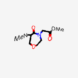 CNC1COCCN(CC(=O)OC)C1=O